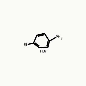 Br.CCc1ccc(P)cc1